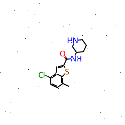 Cc1ccc(Cl)c2cc(C(=O)NC3CCCNC3)sc12